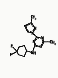 Cc1cc(NC2CCC(F)(F)CC2)nc(-n2ccc(C(F)(F)F)n2)n1